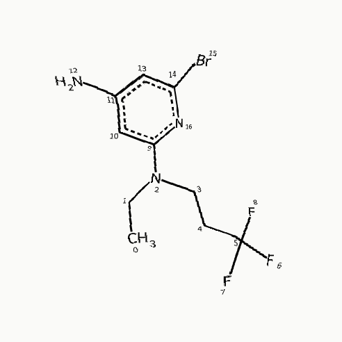 CCN(CCC(F)(F)F)c1cc(N)cc(Br)n1